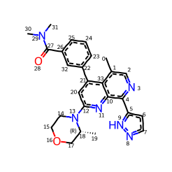 Cc1cnc(-c2ccn[nH]2)c2nc(N3CCOC[C@H]3C)cc(-c3cccc(C(=O)N(C)C)c3)c12